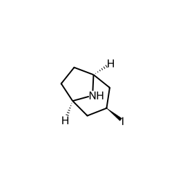 I[C@H]1C[C@H]2CC[C@@H](C1)N2